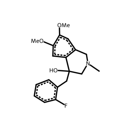 COc1cc2c(cc1OC)C(O)(Cc1ccccc1F)CN(C)C2